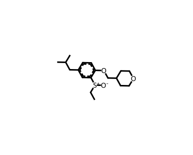 CC[S+]([O-])c1cc(CC(C)C)ccc1OCC1CCOCC1